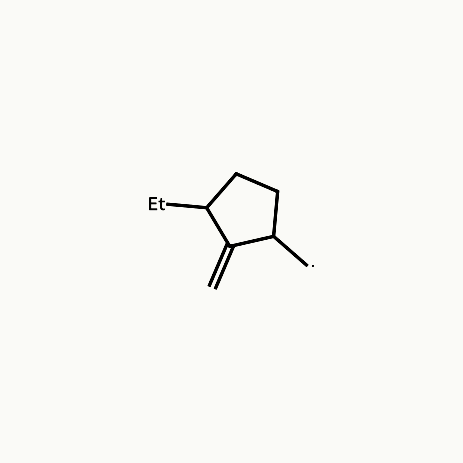 [CH2]C1CCC(CC)C1=C